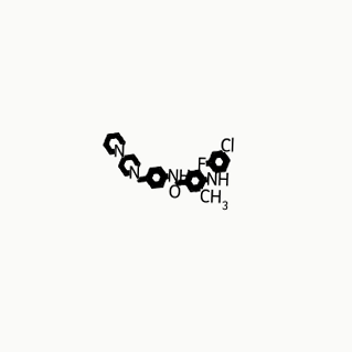 Cc1cc(C(=O)Nc2ccc(CN3CCC(N4CCCCC4)CC3)cc2)ccc1Nc1ccc(Cl)cc1F